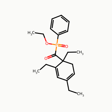 CCOP(=O)(C(=O)C1(CC)CC=C(CC)C=C1CC)c1ccccc1